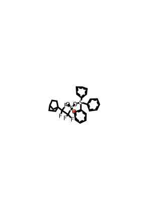 O=S(=O)(OS(c1ccccc1)(c1ccccc1)c1ccccc1)C(F)(F)C(F)(F)C12CCC(CC1)C2